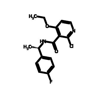 CCOc1ccnc(Cl)c1C(=O)N[C@@H](C)c1ccc(F)cc1